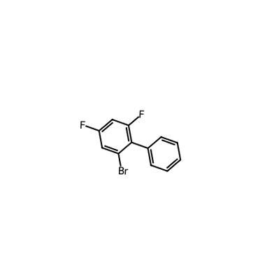 Fc1cc(F)c(-c2ccccc2)c(Br)c1